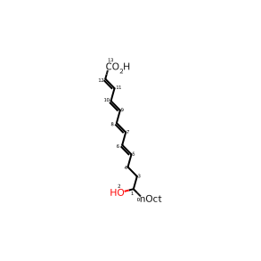 CCCCCCCCC(O)CCC=CC=CC=CC=CC(=O)O